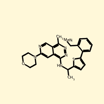 CNCc1ccccc1-c1ccc(C(C)Nc2nnc(C)c3cnc(N4CCOCC4)cc23)s1